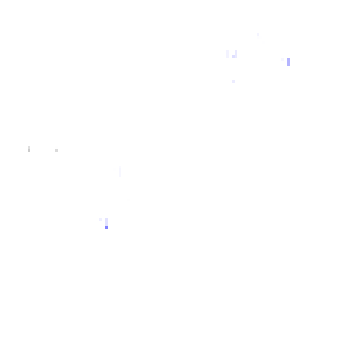 CCCCCc1cn(-c2c(F)cccc2C(C)C)c(=O)n1Cc1ccc(-c2ccccc2-c2nnn[nH]2)cc1